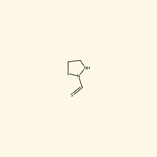 S=CN1NCCS1